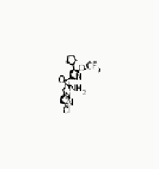 NN(Cc1ccc(Cl)nn1)C(=O)c1cnc(OCC(F)(F)F)c(C2CCCC2)c1